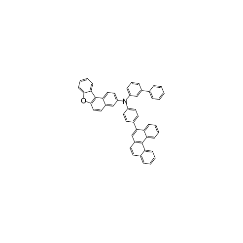 c1ccc(-c2cccc(N(c3ccc(-c4cc5ccc6ccccc6c5c5ccccc45)cc3)c3ccc4c(ccc5oc6ccccc6c54)c3)c2)cc1